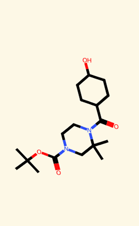 CC(C)(C)OC(=O)N1CCN(C(=O)C2CCC(O)CC2)C(C)(C)C1